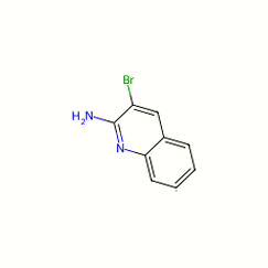 Nc1nc2c[c]ccc2cc1Br